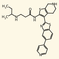 CCC(C)NCCC(=O)Nc1sc2c(c1-c1nc3cc(-c4ccncc4)ccc3s1)CCNC2